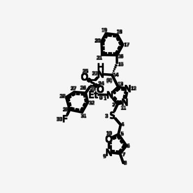 CCn1c(SCc2cc(C)no2)nnc1[C@@H](Cc1ccccc1)NS(=O)(=O)c1ccc(F)cc1